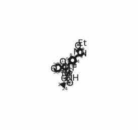 CCOc1cncc(-c2ccc(NC(=O)C3(c4csc(NS(=O)(=O)C5CC5)n4)CCOCC3)c(F)c2)n1